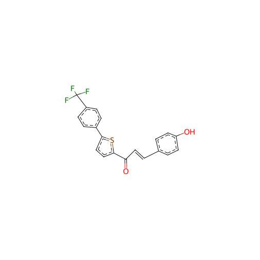 O=C(C=Cc1ccc(O)cc1)c1ccc(-c2ccc(C(F)(F)F)cc2)s1